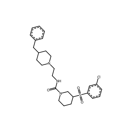 O=C(NCCN1CCC(Cc2ccccc2)CC1)N1CCCC(S(=O)(=O)c2cccc(Cl)c2)C1